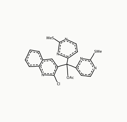 CSc1nccc(C(OC(C)=O)(c2ccnc(SC)n2)c2cc3ccccc3nc2Cl)n1